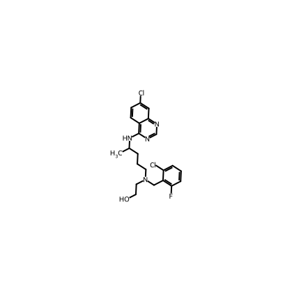 CC(CCCN(CCO)Cc1c(F)cccc1Cl)Nc1ncnc2cc(Cl)ccc12